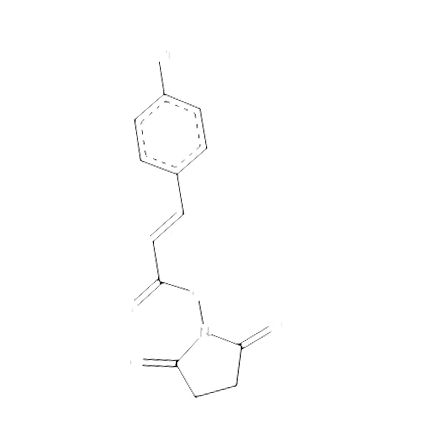 CC(C)c1ccc(/C=C/C(=O)ON2C(=O)CCC2=O)cc1